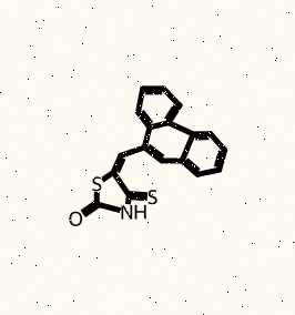 O=C1NC(=S)C(=Cc2cc3ccccc3c3ccccc23)S1